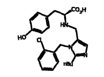 CCCCc1ncc(CN[C@@H](Cc2ccc(O)cc2)C(=O)O)n1Cc1ccccc1Cl